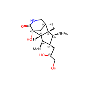 CN[C@@H]1[C@H](C[C@H](O)CO)[C@H](NC(C)=O)[C@H]2[C@@H]3CNC(=O)[C@@](O)(C3)[C@@H]12